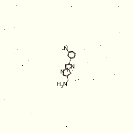 CN(C)c1cccc(-c2cc3ncc(CN)cn3n2)c1